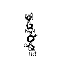 Cn1nnc(N2Cc3nn(-c4ccc(N5C[C@H](CO)OC5=O)cc4F)nc3C2)n1